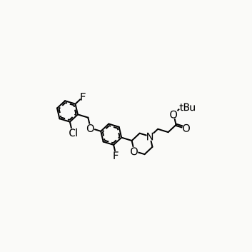 CC(C)(C)OC(=O)CCN1CCOC(c2ccc(OCc3c(F)cccc3Cl)cc2F)C1